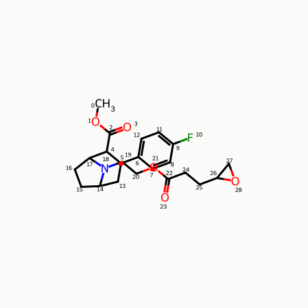 COC(=O)C1C(c2ccc(F)cc2)CC2CCC1N2CCOC(=O)CCC1CO1